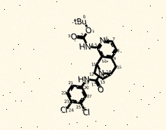 CC(C)(C)OC(=O)Nc1nccc2c1C1CCC(C2)N1C(=O)Nc1ccc(Cl)c(Cl)c1